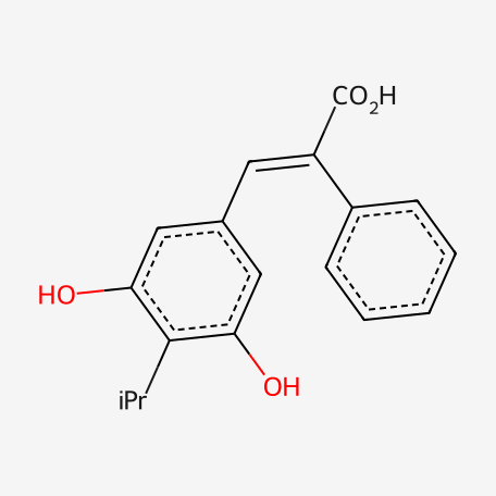 CC(C)c1c(O)cc(C=C(C(=O)O)c2ccccc2)cc1O